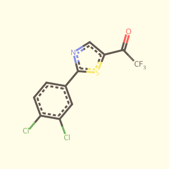 O=C(c1cnc(-c2ccc(Cl)c(Cl)c2)s1)C(F)(F)F